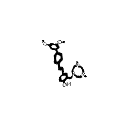 COc1cc(OC)cc(-c2ccc(/C=C/c3ccc(O)c(CN4CCN(C)CCN(C)CC4)c3)cc2)c1